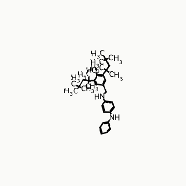 CC(C)(C)CC(C)(C)c1cc(CNc2ccc(Nc3ccccc3)cc2)cc(C(C)(C)CC(C)(C)C)c1O